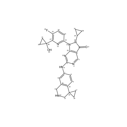 O=c1c2cnc(Nc3ccc4c(c3)CNCC43CC3)nc2n(-c2ccc(F)c(C3(O)CC3)n2)n1C1CC1